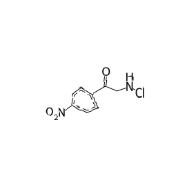 O=C(CNCl)c1ccc([N+](=O)[O-])cc1